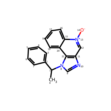 CC(c1ccccc1)n1cnc2c[n+]([O-])c3ccccc3c21